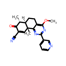 COc1nc(-c2cccnc2)nc2c1CC[C@@H]1[C@@H](C)C(=O)C(C#N)=C[C@@]21C